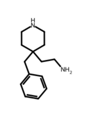 NCCC1(Cc2ccccc2)CCNCC1